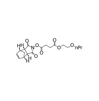 CCCOCCOC(=O)CCC(=O)ON1C(=O)[C@@H]2[C@H](C1=O)[C@@H]1C=C[C@H]2C1